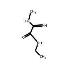 CCNC(=O)C(=N)NC